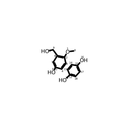 COc1ccc(O)cc1CO.Oc1ccc(O)cc1